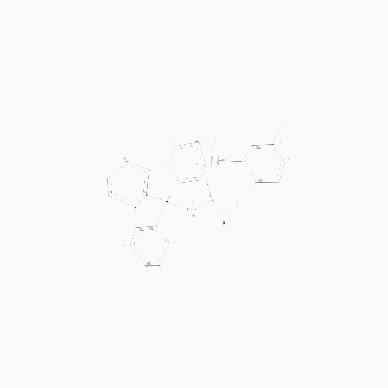 [2H][C@@H]1Oc2ccc(Br)cc2N(C)CC1NC(c1ccccc1)(c1ccccc1)c1ccccc1